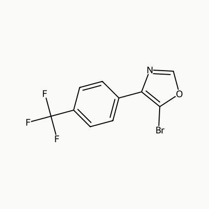 FC(F)(F)c1ccc(-c2ncoc2Br)cc1